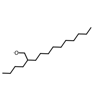 CCCCCCCCCCC(C[O])CCCC